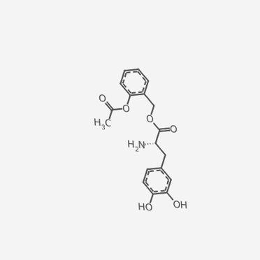 CC(=O)Oc1ccccc1COC(=O)[C@@H](N)Cc1ccc(O)c(O)c1